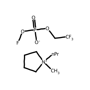 CCC[N+]1(C)CCCC1.O=P([O-])(OF)OCC(F)(F)F